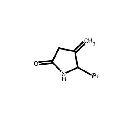 C=C1CC(=O)NC1C(C)C